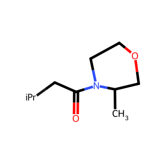 CC(C)CC(=O)N1CCOCC1C